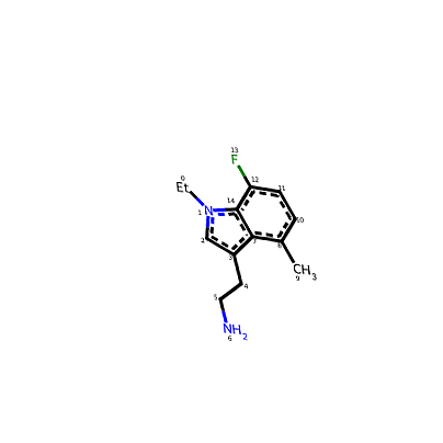 CCn1cc(CCN)c2c(C)ccc(F)c21